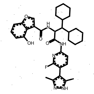 Cc1n[nH]c(C)c1-c1ccc(NC(=O)C(NC(=O)c2coc3cccc(O)c23)C(C2CCCCC2)C2CCCCC2)nc1F